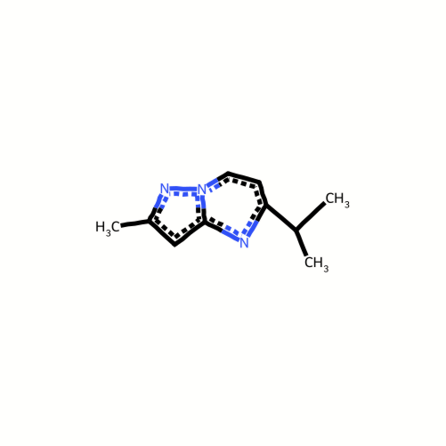 Cc1cc2nc(C(C)C)ccn2n1